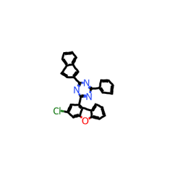 Clc1cc(-c2nc(-c3ccccc3)nc(-c3ccc4ccccc4c3)n2)c2c(c1)oc1ccccc12